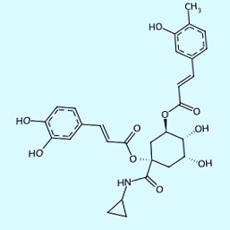 Cc1ccc(/C=C/C(=O)O[C@@H]2C[C@](OC(=O)/C=C/c3ccc(O)c(O)c3)(C(=O)NC3CC3)C[C@@H](O)[C@H]2O)cc1O